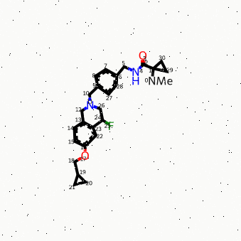 CNC1(C(=O)NCc2ccc(CN3Cc4ccc(OCC5CC5)cc4C(F)C3)cc2)CC1